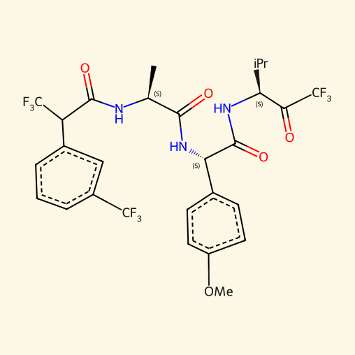 COc1ccc([C@H](NC(=O)[C@H](C)NC(=O)C(c2cccc(C(F)(F)F)c2)C(F)(F)F)C(=O)N[C@H](C(=O)C(F)(F)F)C(C)C)cc1